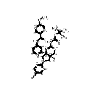 COc1cnc(C(=O)Nc2ccnc([C@]34CN(c5ncc(F)cn5)C[C@H]3CSC(NC(=O)OC(C)(C)C)=N4)c2)cn1